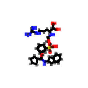 N=C(N)NCCCC(NC=O)B(O)O.O=C(NC1Cc2ccccc2C1)C1CCCC1.O=S(=O)(O)c1ccccc1